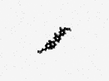 CCCC1CC[C@@H]2C[C@H](c3ccc(-c4ccc(OC)c(F)c4)c(F)c3)CC[C@@H]2C1